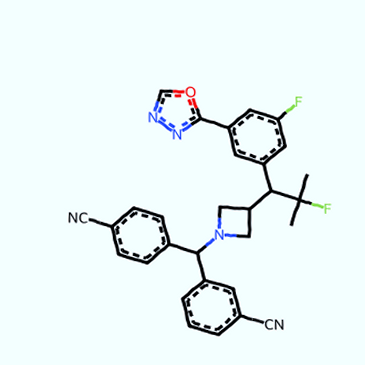 CC(C)(F)C(c1cc(F)cc(-c2nnco2)c1)C1CN(C(c2ccc(C#N)cc2)c2cccc(C#N)c2)C1